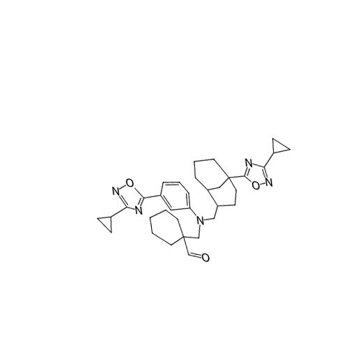 O=CC1(CN(CC2CCC3(c4nc(C5CC5)no4)CCCC2C3)c2cccc(-c3nc(C4CC4)no3)c2)CCCCC1